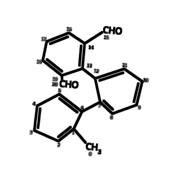 Cc1ccccc1-c1ccccc1-c1c(C=O)cccc1C=O